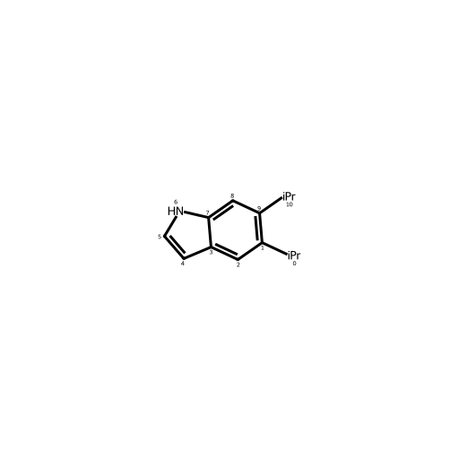 CC(C)c1cc2cc[nH]c2cc1C(C)C